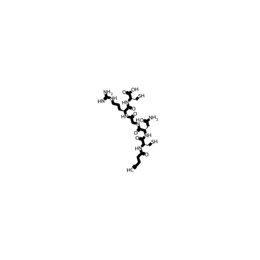 C#CCCC(=O)N[C@@H](CS)C(=O)N[C@@H](CC(N)=O)C(=O)NCC(=O)N[C@@H](CCCNC(=N)N)C(=O)N[C@@H](CS)C(=O)O